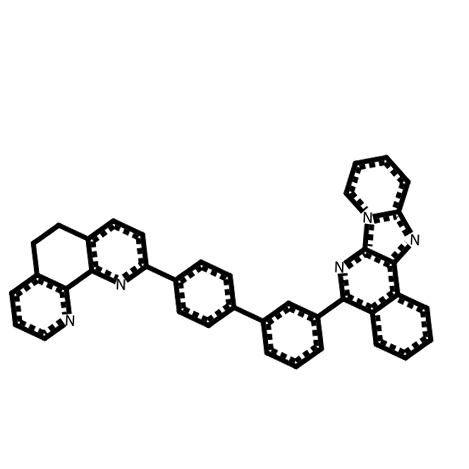 c1cc(-c2ccc(-c3ccc4c(n3)-c3ncccc3CC4)cc2)cc(-c2nc3c(nc4ccccn43)c3ccccc23)c1